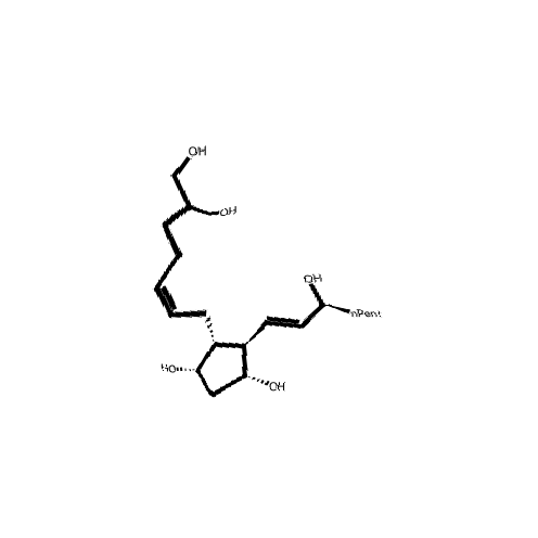 CCCCC[C@H](O)/C=C/[C@@H]1[C@@H](C/C=C\CCC(O)CO)[C@@H](O)C[C@H]1O